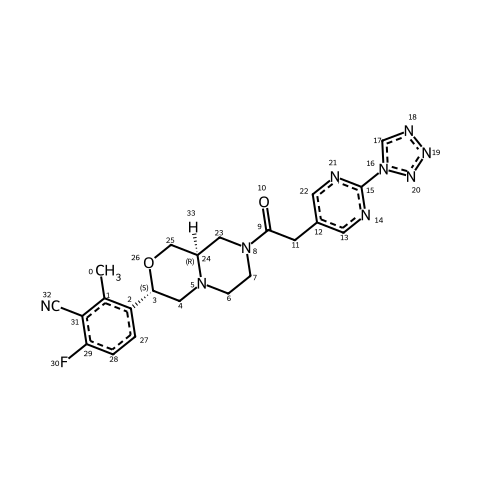 Cc1c([C@H]2CN3CCN(C(=O)Cc4cnc(-n5cnnn5)nc4)C[C@@H]3CO2)ccc(F)c1C#N